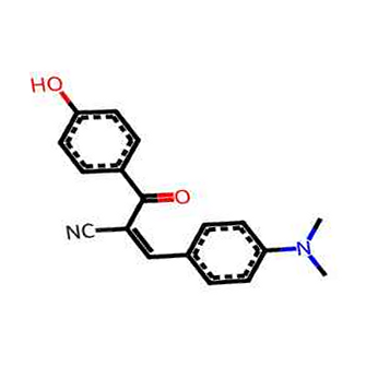 CN(C)c1ccc(C=C(C#N)C(=O)c2ccc(O)cc2)cc1